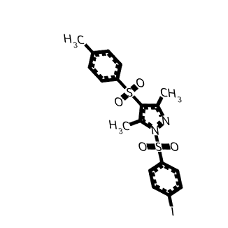 Cc1ccc(S(=O)(=O)c2c(C)nn(S(=O)(=O)c3ccc(I)cc3)c2C)cc1